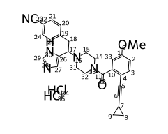 COc1ccc(C#CC2CC2)c(C(=O)N2CCN(C(Cc3ccc(C#N)cc3)c3cnc[nH]3)CC2)c1.Cl.Cl